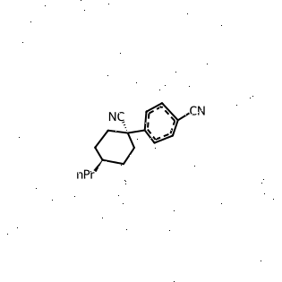 CCC[C@H]1CC[C@@](C#N)(c2ccc(C#N)cc2)CC1